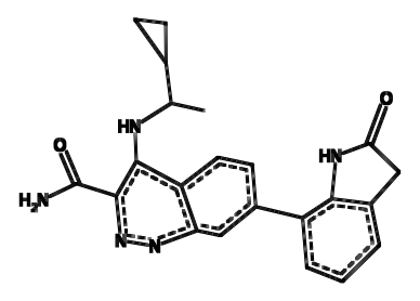 CC(Nc1c(C(N)=O)nnc2cc(-c3cccc4c3NC(=O)C4)ccc12)C1CC1